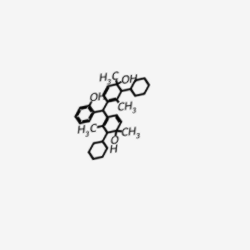 CC1=C(C(C2=C(C)C(C3CCCCC3)C(C)(O)C=C2)c2ccccc2O)C=CC(C)(O)C1C1CCCCC1